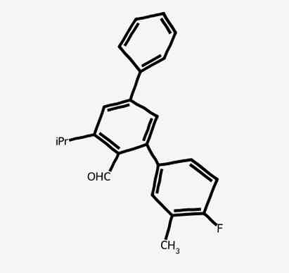 Cc1cc(-c2cc(-c3ccccc3)cc(C(C)C)c2C=O)ccc1F